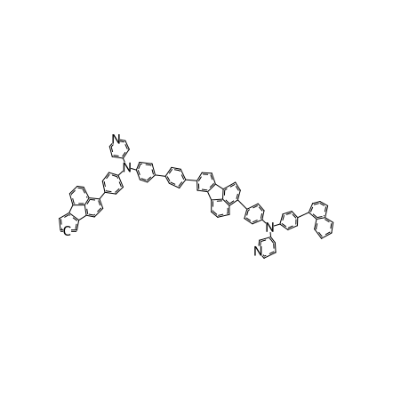 c1cncc(N(c2ccc(-c3cccc4ccccc34)cc2)c2ccc(-c3ccc4c5c(cccc35)-c3cc(-c5ccc(-c6ccc(N(c7ccncc7)c7ccc(-c8ccc9c%10c(cccc8%10)-c8ccccc8-9)cc7)cc6)cc5)ccc3-4)cc2)c1